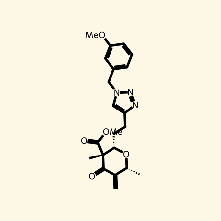 C=C1C(=O)[C@](C)(C(=O)OC)[C@H](CCc2cn(Cc3cccc(OC)c3)nn2)O[C@@H]1C